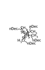 CCCCCCCCCCCCCC(C)CC(=S)OCC(COC(=S)CC(C)CCCCCCCCCCCCC)(COC(=S)CC(C)CCCCCCCCCCCCC)COC(=S)CC(C)CCCCCCCCCCCCC